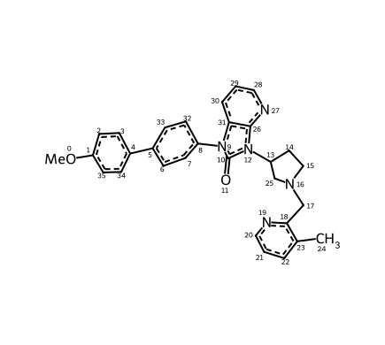 COc1ccc(-c2ccc(-n3c(=O)n(C4CCN(Cc5ncccc5C)C4)c4ncccc43)cc2)cc1